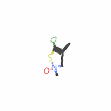 CC1=C(Cl)S[N+](C)([O-])C1